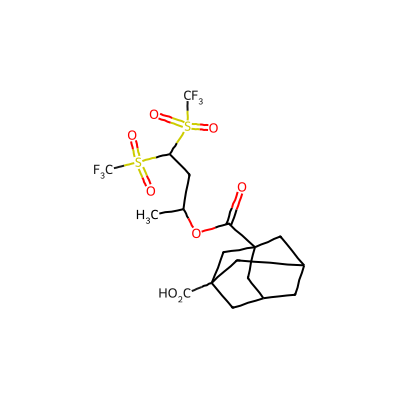 CC(CC(S(=O)(=O)C(F)(F)F)S(=O)(=O)C(F)(F)F)OC(=O)C12CC3CC(CC(C(=O)O)(C3)C1)C2